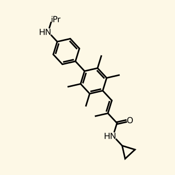 C/C(=C\c1c(C)c(C)c(-c2ccc(NC(C)C)cc2)c(C)c1C)C(=O)NC1CC1